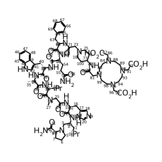 CC(C)C[C@@H](CN1CCC[C@H]1C(N)=O)NC(=O)[C@H](Cc1cnc[nH]1)NC(=O)CN(C)C(=O)[C@@H](NC(=O)[C@H](C)NC(=O)[C@H](Cc1c[nH]c2ccccc12)NC(=O)[C@H](CCC(N)=O)NC(=O)[C@@H](Cc1ccccc1)NC(=O)CN1CCC(NC(=O)CN2CCN(CC(=O)O)CCN(CC(=O)O)CCN(CC(=O)O)CC2)CC1)C(C)C